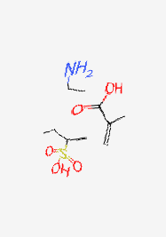 C=C(C)C(=O)O.CCC(C)S(=O)(=O)O.CCN